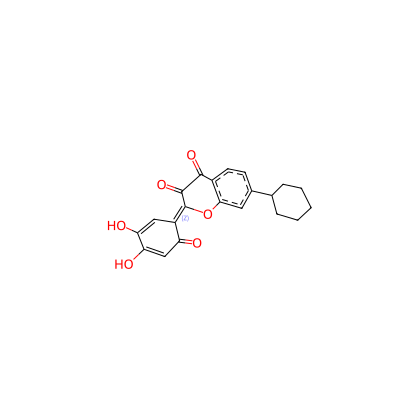 O=C1C=C(O)C(O)=C/C1=C1/Oc2cc(C3CCCCC3)ccc2C(=O)C1=O